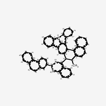 CC1c2ccc3ccccc3c2-c2c(cc3c4ccccc4n4c5ccccc5c2c34)C1c1nc(-c2ccc3c(ccc4ccccc43)c2)nc2ccccc12